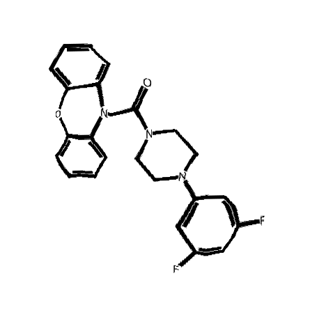 O=C(N1CCN(c2cc(F)cc(F)c2)CC1)N1c2ccccc2Oc2ccccc21